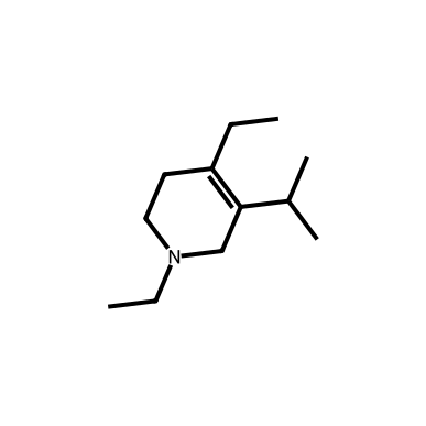 CCC1=C(C(C)C)CN(CC)CC1